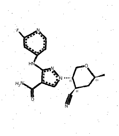 C[C@H]1C[C@@H](C#N)[C@H](n2cc(C(N)=O)c(Nc3ccnc(F)c3)n2)CO1